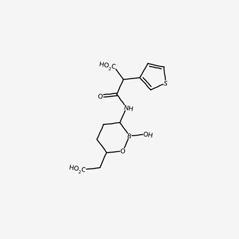 O=C(O)CC1CCC(NC(=O)C(C(=O)O)c2ccsc2)B(O)O1